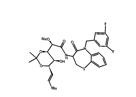 CO[C@@H](C(=O)NC1CSc2ccccc2N(Cc2cc(F)cc(F)c2)C1=O)[C@@H]1OC(C)(C)O[C@H](/C=C/C(C)(C)C)[C@@H]1O